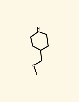 IOCC1CCNCC1